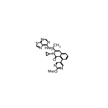 COc1ncc(-c2cccc3cc([C@H](C)Nc4ncnc5scnc45)n(C4CC4)c(=O)c23)cn1